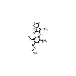 COC1=CC(=N\c2c(N)n3n(c2=O)CCC3)/C(N)=CC/1=N\CCO